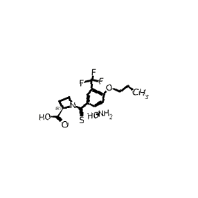 CCCOc1ccc(C(=S)N2CC[C@@H]2C(=O)O)cc1C(F)(F)F.NO